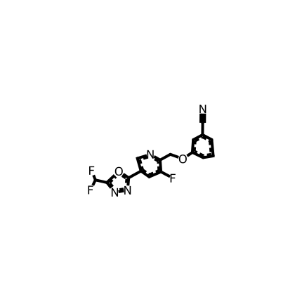 N#Cc1cccc(OCc2ncc(-c3nnc(C(F)F)o3)cc2F)c1